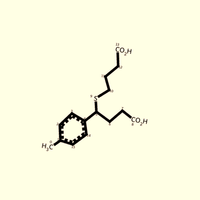 Cc1ccc(C(CCC(=O)O)SCCCC(=O)O)cc1